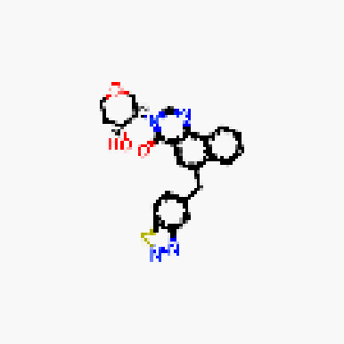 O=c1c2cc(Cc3ccc4snnc4c3)c3ccccc3c2ncn1[C@H]1COCC[C@@H]1O